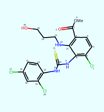 COC(=O)c1ccc(Cl)c(NC(=S)Nc2ccc(Cl)cc2Cl)c1NCCCO